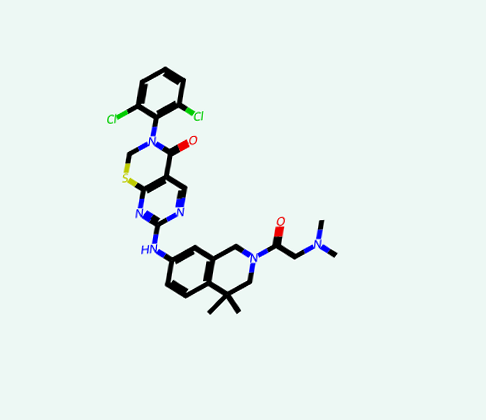 CN(C)CC(=O)N1Cc2cc(Nc3ncc4c(n3)SCN(c3c(Cl)cccc3Cl)C4=O)ccc2C(C)(C)C1